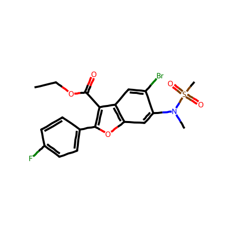 CCOC(=O)c1c(-c2ccc(F)cc2)oc2cc(N(C)S(C)(=O)=O)c(Br)cc12